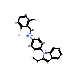 CCc1cc2ccccc2n1-c1ccc(NCc2c(C)cccc2F)cc1